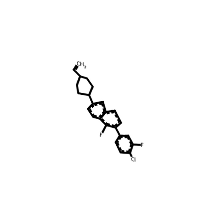 C=CC1CCC(c2ccc3c(F)c(-c4ccc(Cl)c(F)c4)ccc3c2)CC1